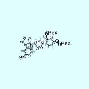 CCCCCCOc1ccc(-c2ccc(N3c4ccc(Br)cc4C4CCCC43)cc2)c(OCCCCCC)c1